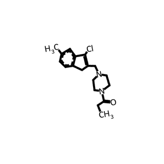 CCC(=O)N1CCN(CC2=C(Cl)c3cc(C)ccc3C2)CC1